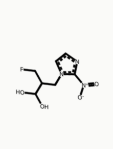 O=[N+]([O-])c1nccn1CC(CF)C(O)O